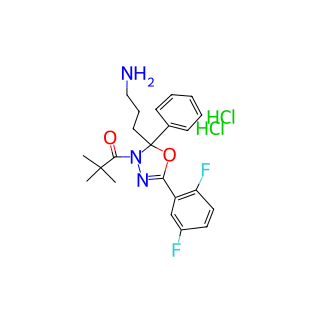 CC(C)(C)C(=O)N1N=C(c2cc(F)ccc2F)OC1(CCCN)c1ccccc1.Cl.Cl